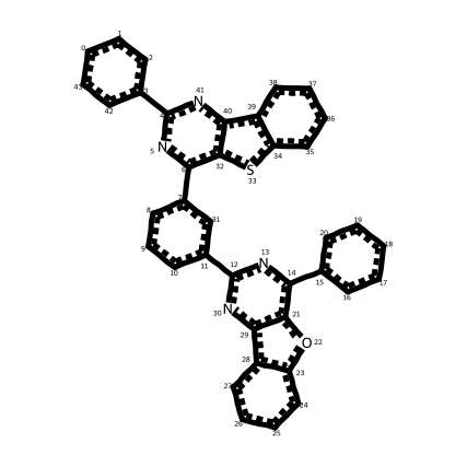 c1ccc(-c2nc(-c3cccc(-c4nc(-c5ccccc5)c5oc6ccccc6c5n4)c3)c3sc4ccccc4c3n2)cc1